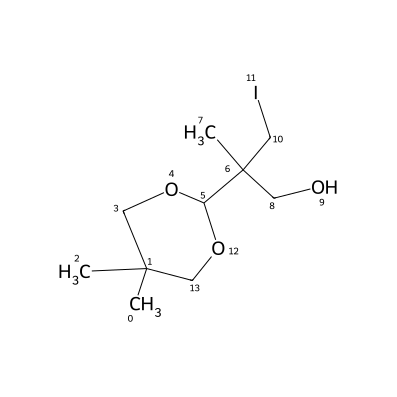 CC1(C)COC(C(C)(CO)CI)OC1